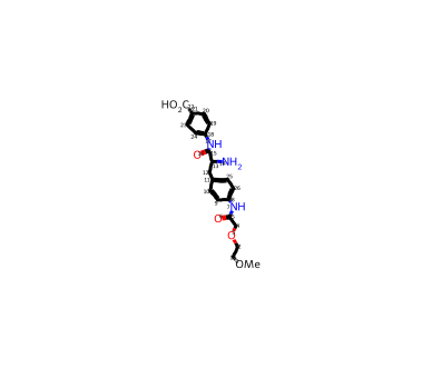 COCCOCC(=O)Nc1ccc(CC(N)C(=O)Nc2ccc(C(=O)O)cc2)cc1